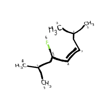 CC(C)/C=C\C(F)C(C)C